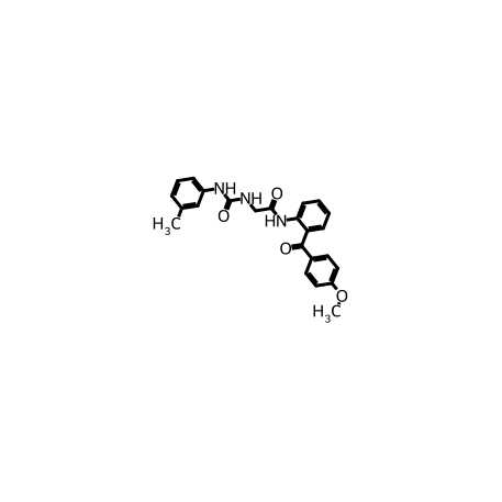 COc1ccc(C(=O)c2ccccc2NC(=O)CNC(=O)Nc2cccc(C)c2)cc1